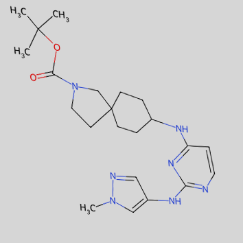 Cn1cc(Nc2nccc(NC3CCC4(CC3)CCN(C(=O)OC(C)(C)C)C4)n2)cn1